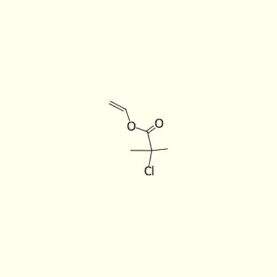 C=COC(=O)C(C)(C)Cl